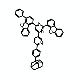 c1ccc(-c2ccc(-c3cc(-c4ccc(-c5ccc(C67CC8CC(CC(C8)C6)C7)cc5)nc4)nc(-c4cccc5c4oc4ccccc45)n3)c3c2oc2ccccc23)cc1